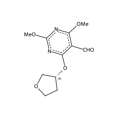 COc1nc(OC)c(C=O)c(O[C@@H]2CCOC2)n1